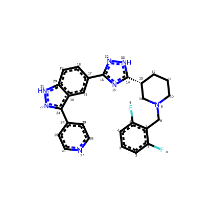 Fc1cccc(F)c1CN1CCC[C@@H](c2nc(-c3ccc4[nH]nc(-c5ccncc5)c4c3)n[nH]2)C1